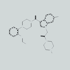 CCOc1ccccc1N1CCN(C(=O)c2cn(CC(=O)N3CCN(C)CC3)c3cc(Cl)ccc23)CC1